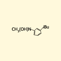 CCC(C)c1cccc(N(C)O)c1